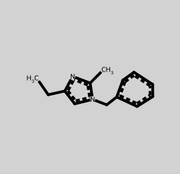 CCc1cn(Cc2ccccc2)c(C)n1